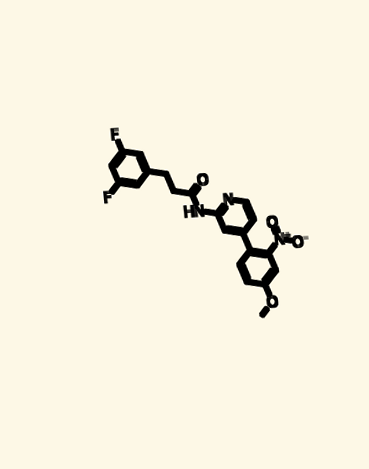 COc1ccc(-c2ccnc(NC(=O)CCc3cc(F)cc(F)c3)c2)c([N+](=O)[O-])c1